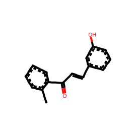 Cc1ccccc1C(=O)C=Cc1cccc(O)c1